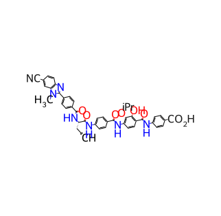 C#CC[C@H](NC(=O)c1ccc(-c2nc3ccc(C#N)cc3n2C)cc1)C(=O)Nc1ccc(C(=O)Nc2ccc(C(=O)Nc3ccc(C(=O)O)cc3)c(O)c2OC(C)C)cc1